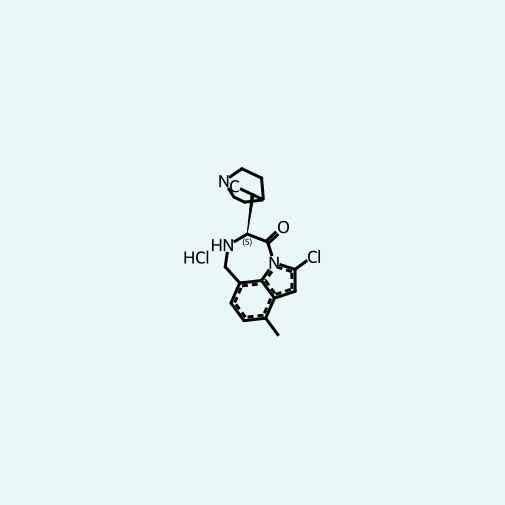 Cc1ccc2c3c1cc(Cl)n3C(=O)[C@H](C1CN3CCC1CC3)NC2.Cl